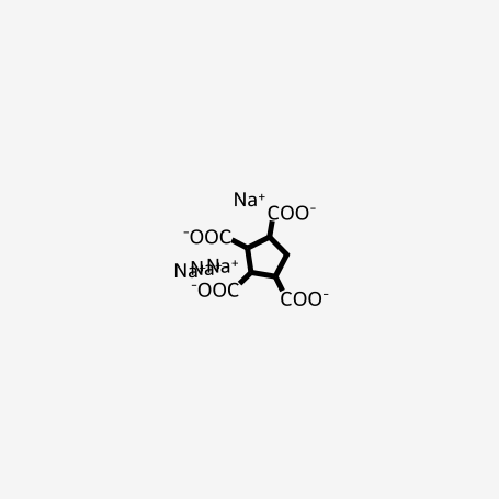 O=C([O-])C1CC(C(=O)[O-])C(C(=O)[O-])C1C(=O)[O-].[Na+].[Na+].[Na+].[Na+]